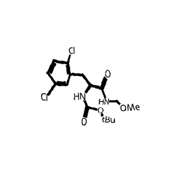 COCNC(=O)C(Cc1cc(Cl)ccc1Cl)NC(=O)OC(C)(C)C